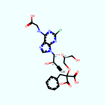 C#C[C@@H](O)[C@@H](O[C@@H](CO)COC(Cc1ccccc1)(C(=O)O)C(=O)O)n1cnc2c(NCC(=O)O)nc(Cl)nc21